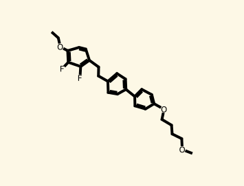 CCOc1ccc(CCc2ccc(-c3ccc(OCCCCOC)cc3)cc2)c(F)c1F